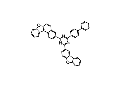 c1ccc(-c2ccc(-c3nc(-c4ccc5c(ccc6oc7ccccc7c65)c4)nc(-c4ccc5oc6ccccc6c5c4)n3)cc2)cc1